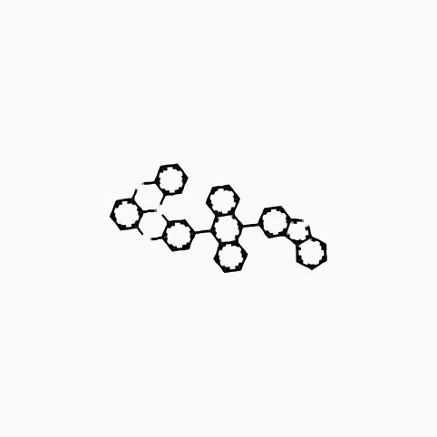 c1ccc2c(c1)Oc1cccc3c1B2c1cc(-c2c4ccccc4c(-c4ccc5oc6ccccc6c5c4)c4ccccc24)ccc1O3